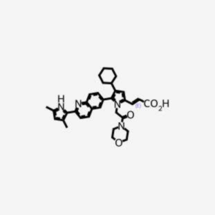 Cc1cc(C)c(-c2ccc3cc(-c4c(C5CCCCC5)cc(/C=C/C(=O)O)n4CC(=O)N4CCOCC4)ccc3n2)[nH]1